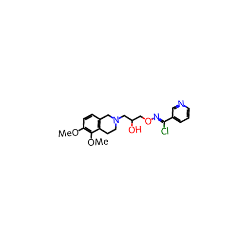 COc1ccc2c(c1OC)CCN(CC(O)CON=C(Cl)c1cccnc1)C2